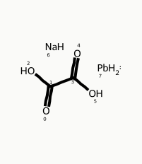 O=C(O)C(=O)O.[NaH].[PbH2]